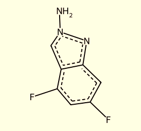 Nn1cc2c(F)cc(F)cc2n1